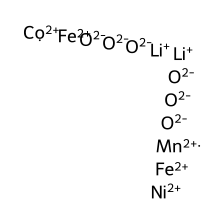 [Co+2].[Fe+2].[Fe+2].[Li+].[Li+].[Mn+2].[Ni+2].[O-2].[O-2].[O-2].[O-2].[O-2].[O-2]